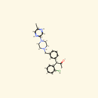 CC(=O)C(c1cccc(CN2CCN(c3cnc(C)cn3)CC2)c1)c1ccccc1Cl